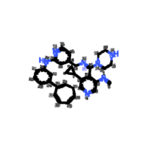 C=Nc1cncc(C2CC2)c1/C(=N\Cc1ccnc(Nc2cccc(C3=CCC=CC=C3)c2)c1)N1CCNCC1